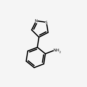 Nc1ccccc1-c1cnsc1